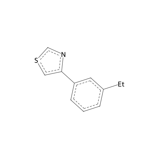 CCc1cccc(-c2cscn2)c1